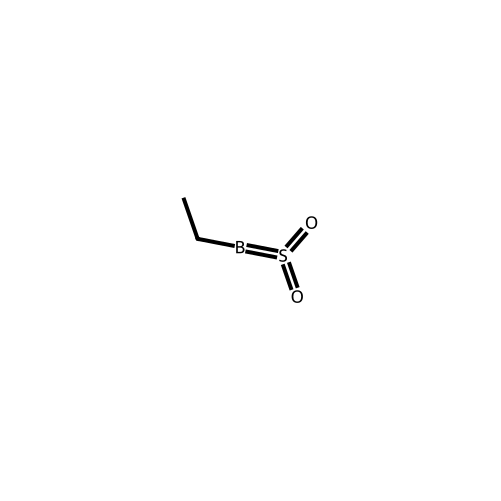 CCB=S(=O)=O